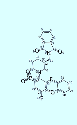 O=C1c2ccccc2C(=O)N1C[C@@H]1CCCN(c2c([N+](=O)[O-])cc(F)c(Oc3ccccc3)c2F)C1